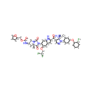 Cc1cc(Oc2ccccc2F)ccc1-n1ncc(C(=O)c2cc3cc(OCC(F)F)c(N4C(=O)[C@@H]5CC(NC(=O)OCc6ccco6)CN5C4=O)cc3[nH]2)c1N